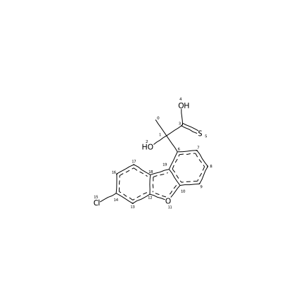 CC(O)(C(O)=S)c1cccc2oc3cc(Cl)ccc3c12